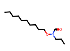 CCCCCCCCCCON([C]=O)CCC